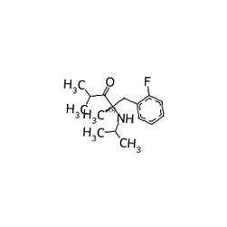 CC(C)N[C@@](C)(Cc1ccccc1F)C(=O)C(C)C